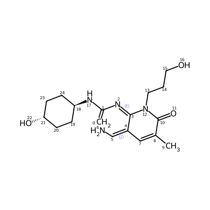 C=C(/N=C1\C(=C/N)C=C(C)C(=O)N1CCCO)N[C@H]1CC[C@H](O)CC1